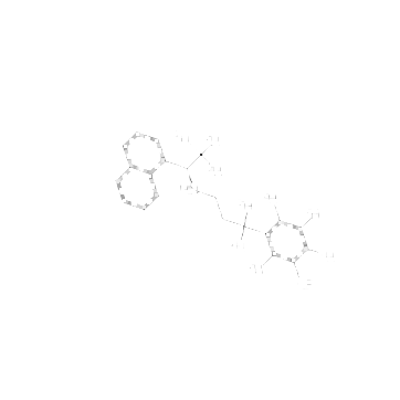 [2H]c1c([2H])c(C(F)(F)F)c([2H])c(C([2H])([2H])CCN[C@@H](c2cccc3ccccc23)C([2H])([2H])[2H])c1[2H]